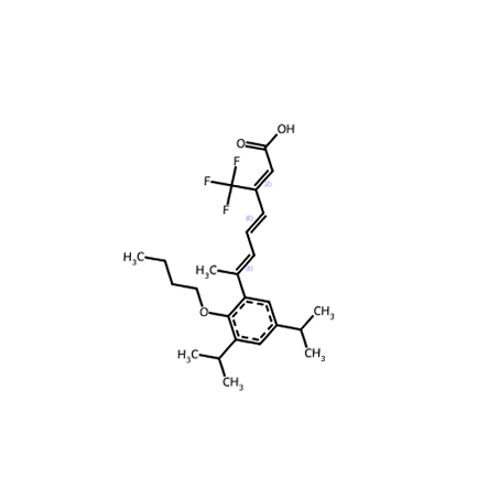 CCCCOc1c(/C(C)=C/C=C/C(=C/C(=O)O)C(F)(F)F)cc(C(C)C)cc1C(C)C